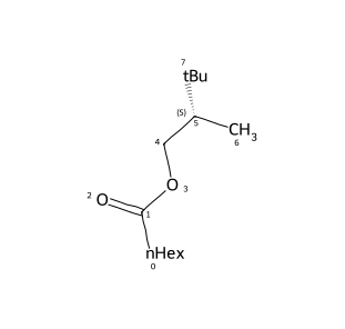 CCCCCCC(=O)OC[C@@H](C)C(C)(C)C